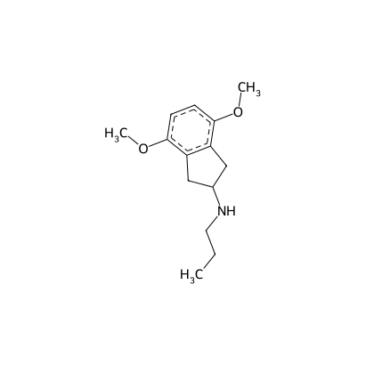 CCCNC1Cc2c(OC)ccc(OC)c2C1